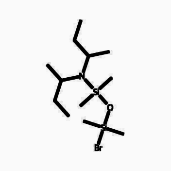 CCC(C)N(C(C)CC)[Si](C)(C)O[Si](C)(C)Br